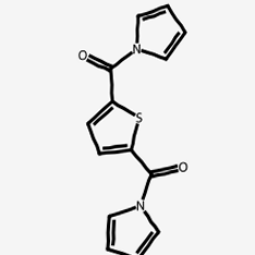 O=C(c1ccc(C(=O)n2cccc2)s1)n1cccc1